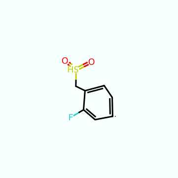 O=[SH](=O)Cc1cc[c]cc1F